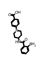 Bc1ccccc1C(=O)NC1CCN(c2ccc(C(=O)O)cc2)CC1